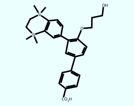 C[Si]1(C)CC[Si](C)(C)c2cc(-c3cc(-c4ccc(C(=O)O)cc4)ccc3OCCCO)ccc21